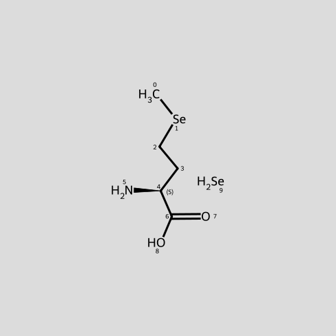 C[Se]CC[C@H](N)C(=O)O.[SeH2]